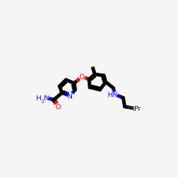 Cc1cc(CNCCC(C)C)ccc1Oc1ccc(C(N)=O)nc1